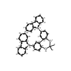 CC1(C)Oc2ccc(-n3c4ccccc4c4ccccc43)cc2-c2cc(-n3c4ccccc4c4ccccc43)ccc2O1